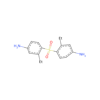 CCc1cc(N)ccc1S(=O)(=O)c1ccc(N)cc1CC